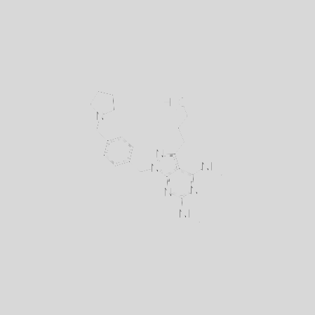 CCCCc1nn(Cc2ccc(CN3CCCC3)cc2)c2nc(N)nc(N)c12